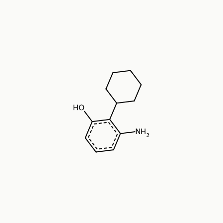 Nc1cccc(O)c1C1CCCCC1